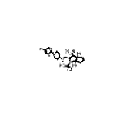 N[C@H]1[C@H]2CCC[C@H]2N(C(=O)O)[C@H]1COC1CCN(c2ncc(F)cn2)CC1